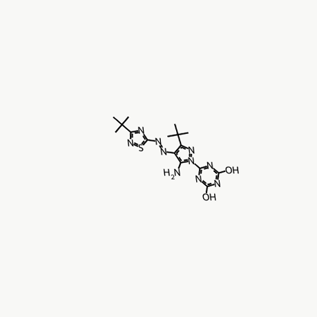 CC(C)(C)c1nsc(N=Nc2c(C(C)(C)C)nn(-c3nc(O)nc(O)n3)c2N)n1